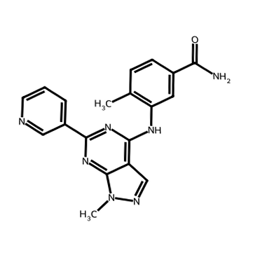 Cc1ccc(C(N)=O)cc1Nc1nc(-c2cccnc2)nc2c1cnn2C